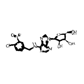 O=[N+]([O-])c1cc(CNc2ncnc3c2ncn3C2O[C@H](CO)[C@@H](O)[C@H]2O)ccc1Cl